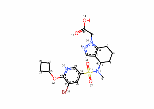 CN([C@@H]1CCCc2c1cnn2CC(=O)O)S(=O)(=O)c1cnc(OC2CCC2)c(Br)c1